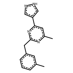 Cc1cccc(Cc2nc(C)cc(-c3cn[nH]c3)n2)c1